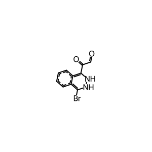 O=CC(=O)C1=c2ccccc2=C(Br)NN1